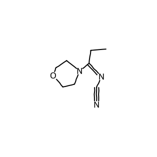 CC/C(=N/C#N)N1CCOCC1